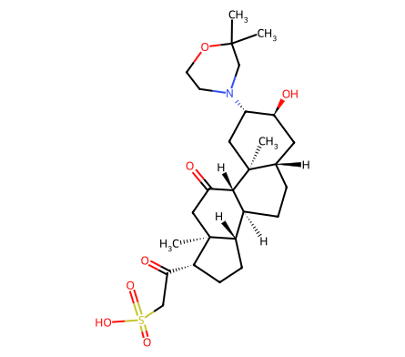 CC1(C)CN([C@H]2C[C@@]3(C)[C@@H](CC[C@H]4[C@@H]5CC[C@H](C(=O)CS(=O)(=O)O)[C@@]5(C)CC(=O)[C@@H]43)C[C@@H]2O)CCO1